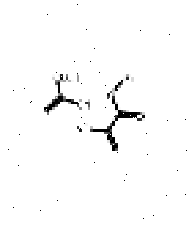 C=C(C#N)C(=O)O.C=C(C#N)C(=O)OC(C)C